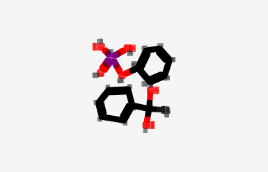 CCC(O)(O)c1ccccc1.O=P(O)(O)Oc1ccccc1